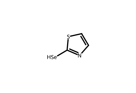 [SeH]c1nccs1